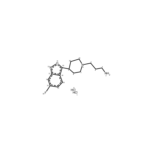 Cl.Cl.NCCCN1CCC(c2onc3cc(F)ccc23)CC1